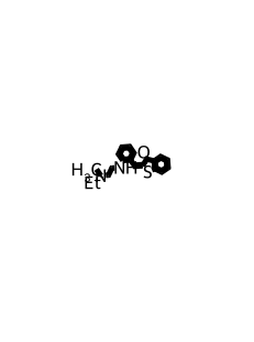 CCN(C)CCNc1ccccc1C=C1Sc2ccccc2C1=O